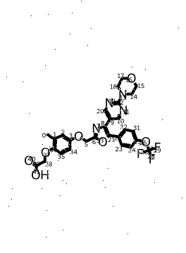 Cc1cc(OCc2nc(-c3cnc(N4CCOCC4)nc3)c(-c3ccc(OC(F)(F)F)cc3)o2)ccc1OCC(=O)O